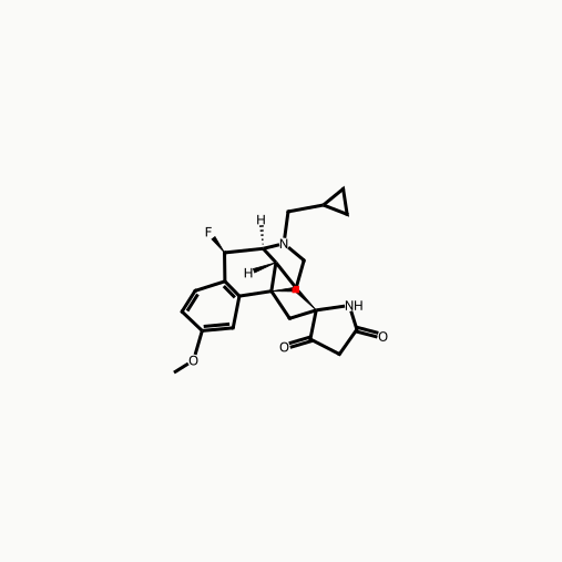 COc1ccc2c(c1)[C@]13CCN(CC4CC4)[C@H]([C@@H]2F)[C@@H]1CC[C@@]1(C3)NC(=O)CC1=O